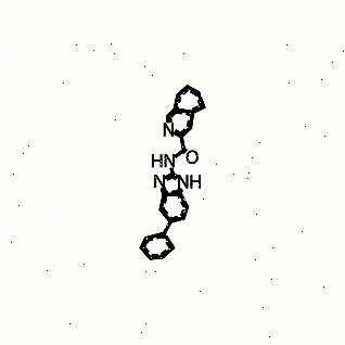 O=C(Nc1nc2cc(-c3ccccc3)ccc2[nH]1)c1cc2ccccc2cn1